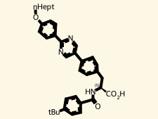 CCCCCCCOc1ccc(-c2ncc(-c3ccc(C[C@H](NC(=O)c4ccc(C(C)(C)C)cc4)C(=O)O)cc3)cn2)cc1